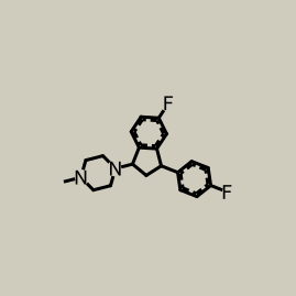 CN1CCN(C2CC(c3ccc(F)cc3)c3cc(F)ccc32)CC1